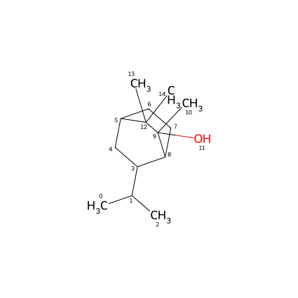 CC(C)C1CC2CCC1C(C)(O)C2(C)C